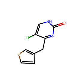 O=c1nc(Cc2ccsc2)c(Cl)c[nH]1